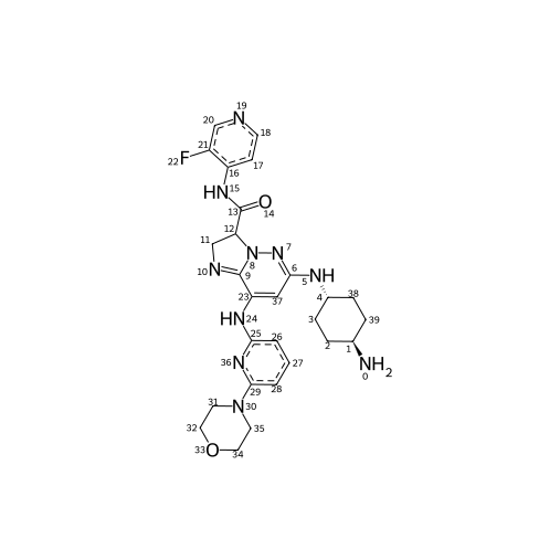 N[C@H]1CC[C@H](NC2=NN3C(=NCC3C(=O)Nc3ccncc3F)C(Nc3cccc(N4CCOCC4)n3)=C2)CC1